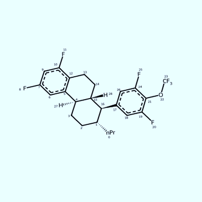 CCC[C@@H]1CC[C@H]2c3cc(F)cc(F)c3CC[C@@H]2[C@H]1c1cc(F)c(OC(F)(F)F)c(F)c1